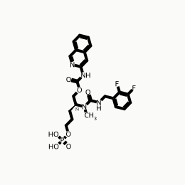 CN(C(=O)NCc1cccc(F)c1F)[C@@H](CCCOP(=O)(O)O)COC(=O)Nc1cc2ccccc2cn1